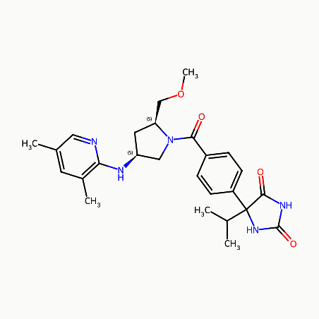 COC[C@@H]1C[C@H](Nc2ncc(C)cc2C)CN1C(=O)c1ccc(C2(C(C)C)NC(=O)NC2=O)cc1